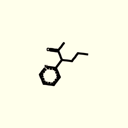 CCCC(C(C)=O)c1ccccn1